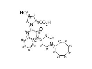 O=C(O)C1C[C@@H](O)CN1c1nc2ccccc2n(C2CCN(C3CCCCCCC3)CC2)c1=O